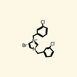 Clc1cccc(Cn2cc[n+](Cc3cccc(Cl)c3)c2)c1.[Br-]